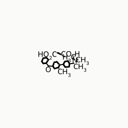 Cc1cc(C(=O)c2ccccc2)ccc1-c1ccc(C(C)N(C)C)cc1.O=C(O)C=CC(=O)O